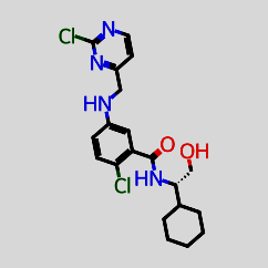 O=C(N[C@H](CO)C1CCCCC1)c1cc(NCc2ccnc(Cl)n2)ccc1Cl